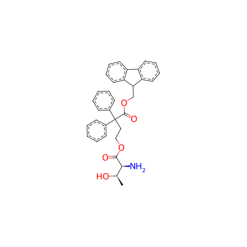 C[C@@H](O)[C@H](N)C(=O)OCCC(C(=O)OCC1c2ccccc2-c2ccccc21)(c1ccccc1)c1ccccc1